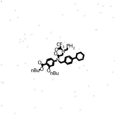 CCCCOC(=O)c1ccc(N(Cc2ccc(C3CCCCC3)cc2)C(=O)CN(CP)C(=O)C(F)(F)F)cc1OCCCC